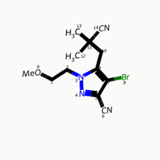 COCCn1nc(C#N)c(Br)c1CC(C)(C)C#N